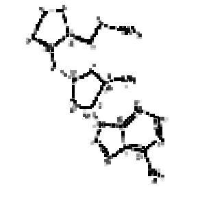 NCC[C@@H]1CCCN1C[C@@H]1C[C@@H](O)[C@H](n2ccc3c(N)ncnc32)O1